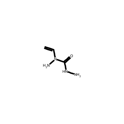 C=CN(N)C(=O)NN